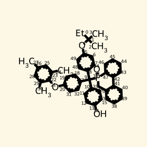 CCC(C)(C)Oc1ccc(C(c2ccc(O)cc2)(c2ccc(Oc3c(C)cc(C)cc3C)cc2)P2(=O)Cc3ccccc3-c3ccccc32)cc1